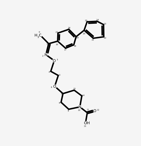 CC(=NOCCOC1CCN(C(=O)O)CC1)c1ccc(-c2ccccc2)cc1